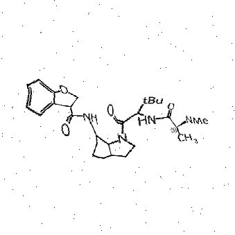 CN[C@@H](C)C(=O)NC(C(=O)N1CCC2CCC(NC(=O)C3COc4ccccc43)C21)C(C)(C)C